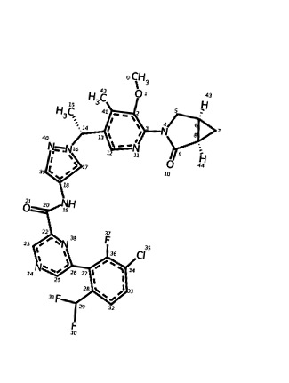 COc1c(N2C[C@H]3C[C@H]3C2=O)ncc([C@@H](C)n2cc(NC(=O)c3cncc(-c4c(C(F)F)ccc(Cl)c4F)n3)cn2)c1C